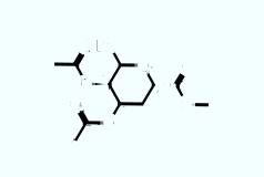 COC(=O)[C@@H]1CC(OC(C)=O)[C@@H](OC(C)=O)C(Br)O1